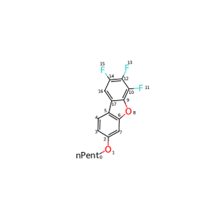 CCCCCOc1ccc2c(c1)oc1c(F)c(F)c(F)cc12